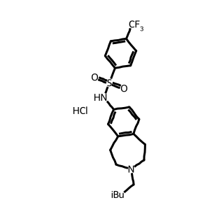 CCC(C)CN1CCc2ccc(NS(=O)(=O)c3ccc(C(F)(F)F)cc3)cc2CC1.Cl